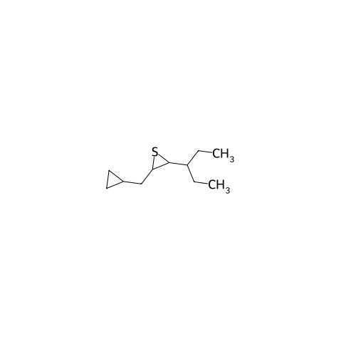 CCC(CC)C1SC1CC1CC1